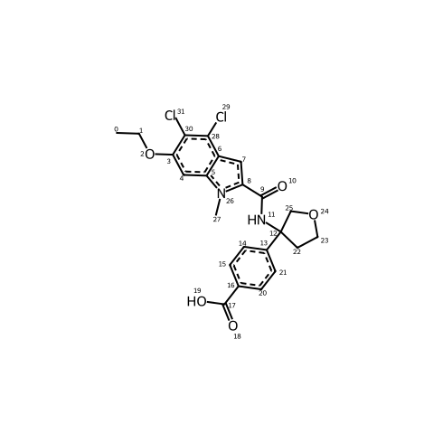 CCOc1cc2c(cc(C(=O)NC3(c4ccc(C(=O)O)cc4)CCOC3)n2C)c(Cl)c1Cl